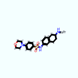 CCCNC1CCc2cc(NS(=O)(=O)c3ccc(N4CCOCC4)cc3)ccc2C1